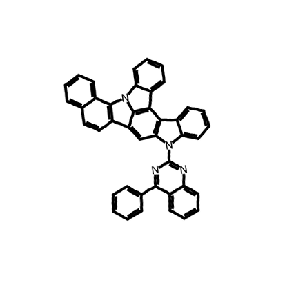 c1ccc(-c2nc(-n3c4ccccc4c4c5c6ccccc6n6c7c8ccccc8ccc7c(cc43)c56)nc3ccccc23)cc1